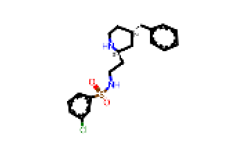 O=S(=O)(NCC[C@@H]1C[C@@H](Cc2ccccc2)CCN1)c1cccc(Cl)c1